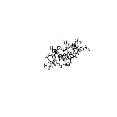 CC1=CC23C(=O)[C@@H](C=C(CO)[C@@H](O)[C@]2(O)[C@H]1OC(=O)N1CCCC(C)(C)C1)[C@H]1[C@@H](CC3C)C1(C)C